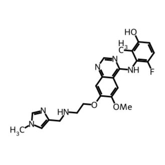 COc1cc2c(Nc3c(F)ccc(O)c3C)ncnc2cc1OCCNCc1cn(C)cn1